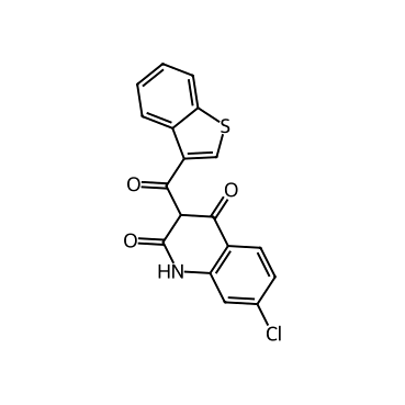 O=C1Nc2cc(Cl)ccc2C(=O)C1C(=O)c1csc2ccccc12